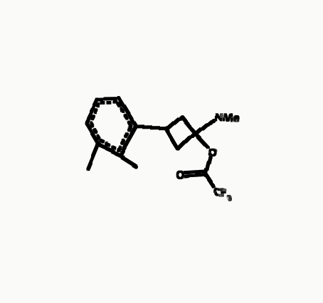 CNC1(OC(=O)C(F)(F)F)CC(c2cccc(C)c2C)C1